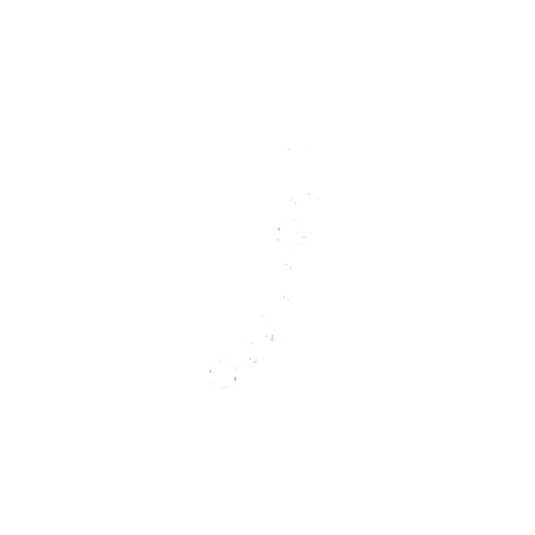 CC(=O)NCC1CN(c2ccc(N3CCN(CC(=O)NC(=O)Nc4ccccc4)CC3)c(F)c2)C(=O)O1